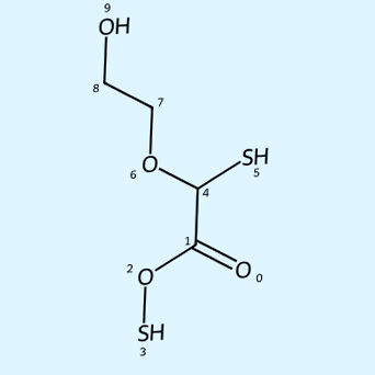 O=C(OS)C(S)OCCO